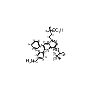 CC(C)(CCc1nccc2nc(-c3ccc(CN)cc3)c(-c3ccccc3)cc12)C(=O)O.O=C(O)C(F)(F)F